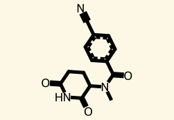 CN(C(=O)c1ccc(C#N)cc1)C1CCC(=O)NC1=O